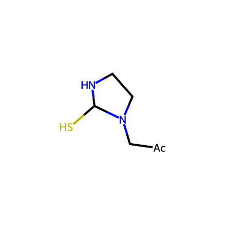 CC(=O)CN1CCNC1S